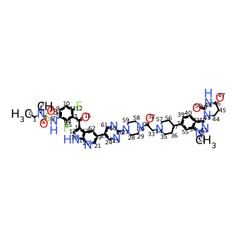 CCN(C)S(=O)(=O)Nc1ccc(F)c(C(=O)c2c[nH]c3ncc(-c4cnc(N5CCN(C(=O)CN6CCC(c7ccc8c(N9CCC(=O)NC9=O)nn(C)c8c7)CC6)CC5)nc4)cc23)c1F